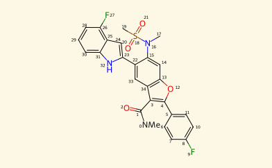 CNC(=O)c1c(-c2ccc(F)cc2)oc2cc(N(C)S(C)(=O)=O)c(-c3cc4c(F)cccc4[nH]3)cc12